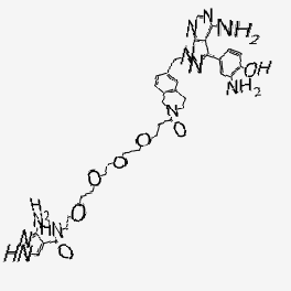 Nc1cc(-c2nn(Cc3ccc4c(c3)CCN(C(=O)CCOCCOCCOCCOCCNC(=O)c3c[nH]nc3N)C4)c3ncnc(N)c23)ccc1O